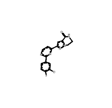 O=C1NCCn2nc(-c3ccnc(-c4ccc(F)c(Cl)c4)n3)cc21